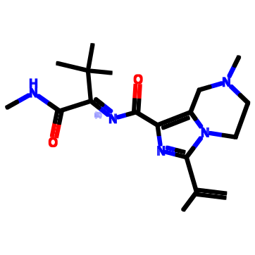 C=C(C)c1nc(C(=O)/N=C(/C(=O)NC)C(C)(C)C)c2n1CCN(C)C2